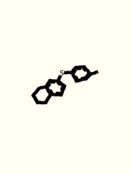 Cc1ccc(Sc2ccc3c(c2)CCCC3)cc1